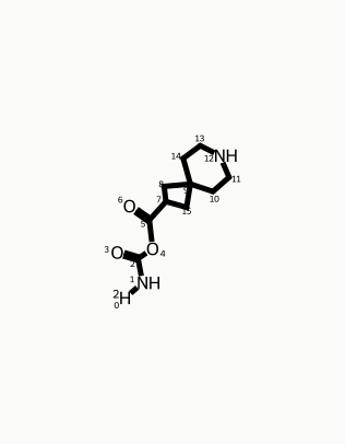 [2H]NC(=O)OC(=O)C1CC2(CCNCC2)C1